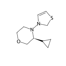 C1=CN(N2CCOC[C@@H]2C2CC2)CS1